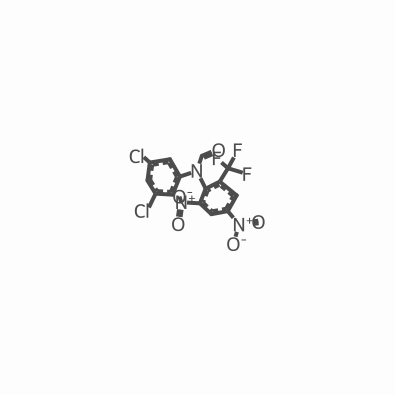 O=CN(c1cc(Cl)cc(Cl)c1)c1c([N+](=O)[O-])cc([N+](=O)[O-])cc1C(F)(F)F